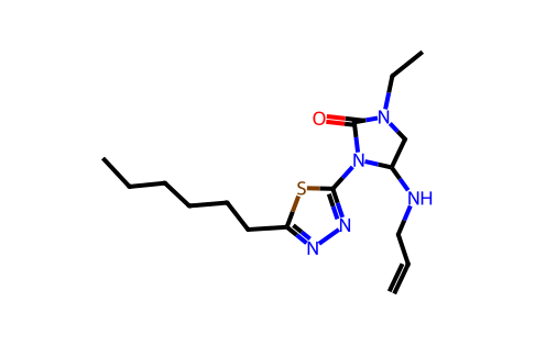 C=CCNC1CN(CC)C(=O)N1c1nnc(CCCCCC)s1